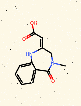 CN1C/C(=C/C(=O)O)Nc2ccccc2C1=O